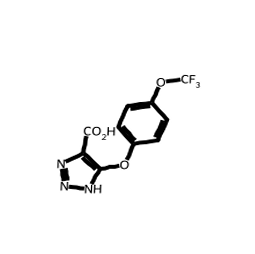 O=C(O)c1nn[nH]c1Oc1ccc(OC(F)(F)F)cc1